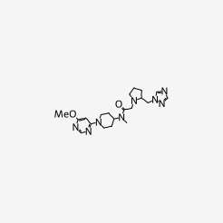 COc1cc(N2CCC(N(C)C(=O)CN3CCCC3Cn3cncn3)CC2)ncn1